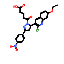 CCOc1ccc2cc(C3CC(c4ccc([N+](=O)[O-])cc4)=NN3C(=O)CCCC(=O)O)c(Cl)nc2c1